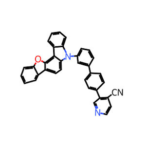 N#Cc1ccncc1-c1ccc(-c2cccc(-n3c4ccccc4c4c5oc6ccccc6c5ccc43)c2)cc1